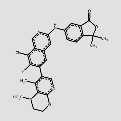 Cc1c(-c2cc3cc(Nc4ccc5c(c4)C(=O)OC5(C)C)ncc3c(Cl)c2F)cnc2c1N(C(=O)O)CCO2